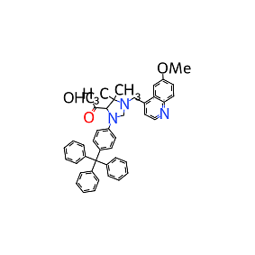 COc1ccc2nccc(CN3CN(c4ccc(C(c5ccccc5)(c5ccccc5)c5ccccc5)cc4)C(C(=O)C=O)C3(C)C)c2c1